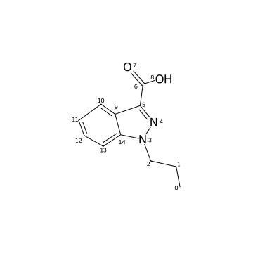 CCCn1nc(C(=O)O)c2ccccc21